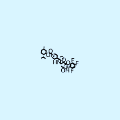 CC(C)[C@@H]1CC[C@@H](C)C[C@H]1OC(=O)N1CCC(C(=O)N[C@@H](CC(=O)O)C(=O)COc2c(F)c(F)cc(F)c2F)CC1